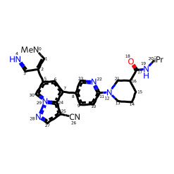 CN/C=C(\C=N)c1cc(-c2ccc(N3CCCC(C(=O)NC(C)C)C3)nc2)c2c(C#N)cnn2c1